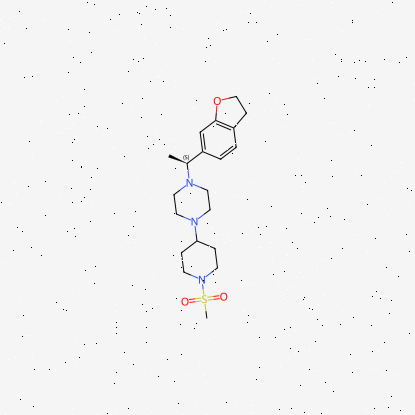 C[C@@H](c1ccc2c(c1)OCC2)N1CCN(C2CCN(S(C)(=O)=O)CC2)CC1